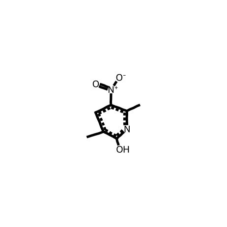 Cc1cc([N+](=O)[O-])c(C)nc1O